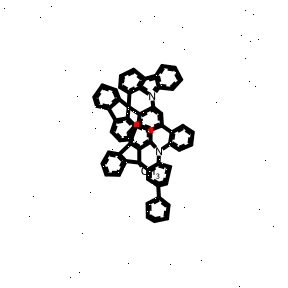 CC12c3ccccc3-c3cccc(c31)N(c1ccccc1-c1ccc3c(c1)-n1c4ccccc4c4cccc(c41)C31c3ccccc3-c3ccccc31)c1ccc(-c3ccccc3)cc12